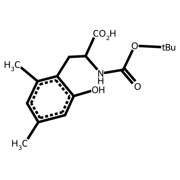 Cc1cc(C)c(CC(NC(=O)OC(C)(C)C)C(=O)O)c(O)c1